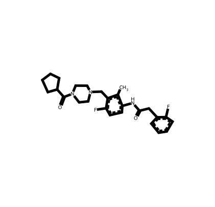 Cc1c(NC(=O)Cc2ccccc2F)ccc(F)c1CN1CCN(C(=O)C2CCCC2)CC1